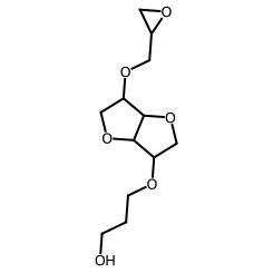 OCCCOC1COC2C(OCC3CO3)COC12